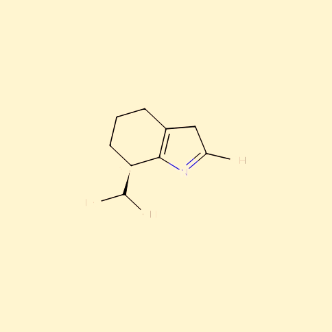 CC1=NC2=C(CCC[C@@H]2C(C)C)C1